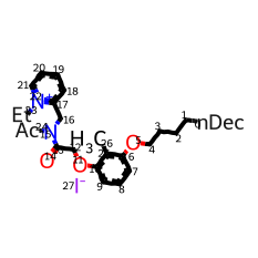 CCCCCCCCCCCCCCOc1cccc(OCC(=O)N(Cc2cccc[n+]2CC)C(C)=O)c1C.[I-]